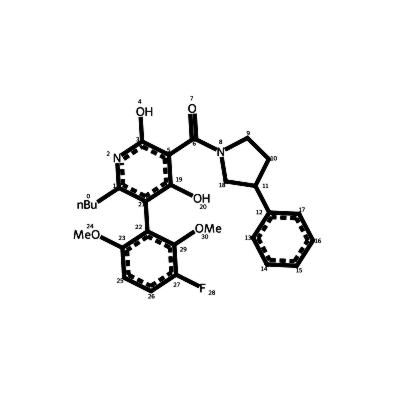 CCCCc1nc(O)c(C(=O)N2CCC(c3ccccc3)C2)c(O)c1-c1c(OC)ccc(F)c1OC